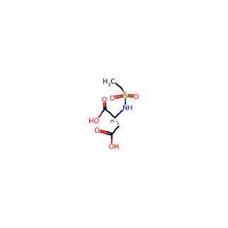 CCS(=O)(=O)N[C@H](CC(=O)O)C(=O)O